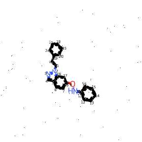 C(=C\n1ncc2ccc(ONc3ccccc3)cc21)/c1ccccc1